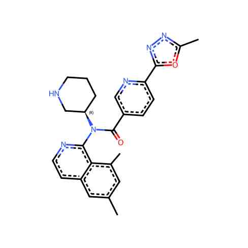 Cc1cc(C)c2c(N(C(=O)c3ccc(-c4nnc(C)o4)nc3)[C@@H]3CCCNC3)nccc2c1